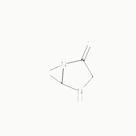 O=C1CNC2ON12